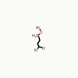 CCC(CC)CC[SiH2]OC(C)C